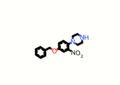 O=[N+]([O-])c1cc(OCc2ccccc2)ccc1N1CCNCC1